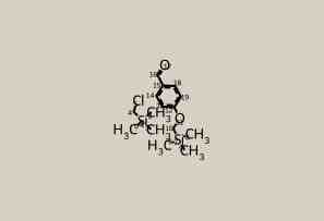 C[Si](C)(C)CCl.C[Si](C)(C)COc1ccc(C=O)cc1